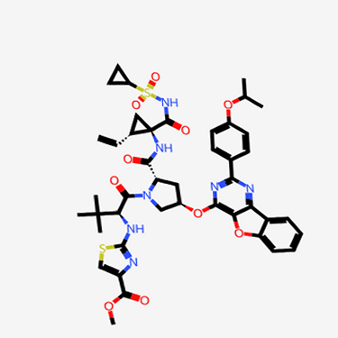 C=C[C@@H]1C[C@]1(NC(=O)[C@@H]1C[C@@H](Oc2nc(-c3ccc(OC(C)C)cc3)nc3c2oc2ccccc23)CN1C(=O)[C@@H](Nc1nc(C(=O)OC)cs1)C(C)(C)C)C(=O)NS(=O)(=O)C1CC1